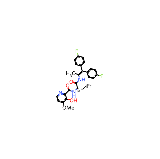 COc1ccnc(C(=O)N[C@@H](CC(C)C)C(=O)NC(C)=C(c2ccc(F)cc2)c2ccc(F)cc2)c1O